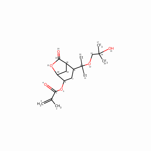 C=C(C)C(=O)OC1CC(C(CC)(CC)OCC(O)(C(F)(F)F)C(F)(F)F)C2CC1OC2=O